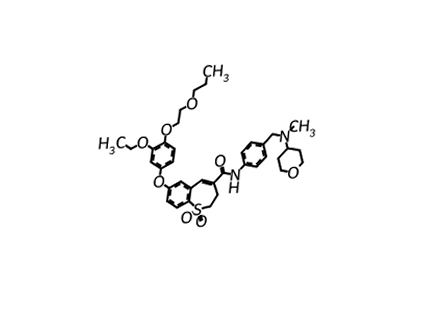 CCCOCCOc1ccc(Oc2ccc3c(c2)C=C(C(=O)Nc2ccc(CN(C)C4CCOCC4)cc2)CCS3(=O)=O)cc1OCC